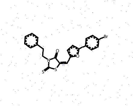 O=C1/C(=C\c2ccc(-c3ccc(Br)cc3)o2)SC(=S)N1CCc1ccccc1